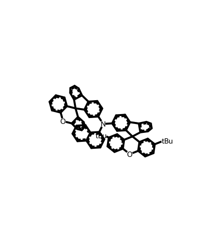 CC(C)(C)c1ccc2c(c1)C1(c3cc(C(C)(C)C)ccc3O2)c2ccccc2-c2ccc(N(c3ccc4c(c3)C3(c5ccccc5Oc5ccccc53)c3ccccc3-4)c3cccc4ccccc34)cc21